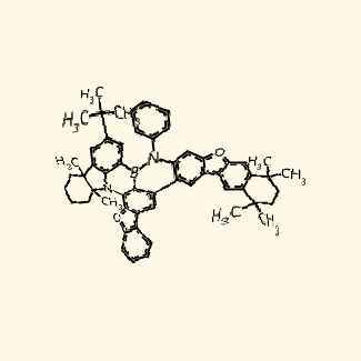 CC(C)(C)c1cc2c3c(c1)C1(C)CCCCC1(C)N3c1c3c(cc4c1oc1ccccc14)-c1cc4c(cc1N(c1ccccc1)B23)oc1cc2c(cc14)C(C)(C)CCC2(C)C